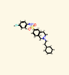 O=S(=O)(Nc1ccc(F)cc1)c1ccc2c(c1)CCN(CCC1CCCCC1)C2